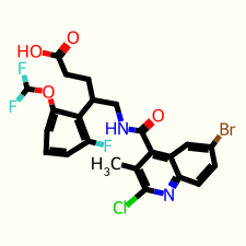 Cc1c(Cl)nc2ccc(Br)cc2c1C(=O)NCC(CCC(=O)O)c1c(F)cccc1OC(F)F